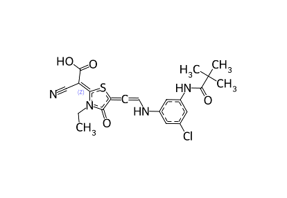 CCn1c(=O)c(=C=CNc2cc(Cl)cc(NC(=O)C(C)(C)C)c2)s/c1=C(/C#N)C(=O)O